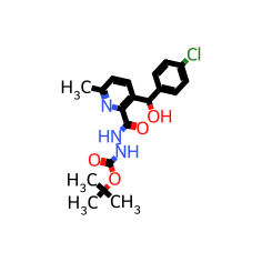 Cc1ccc(C(O)c2ccc(Cl)cc2)c(C(=O)NNC(=O)OC(C)(C)C)n1